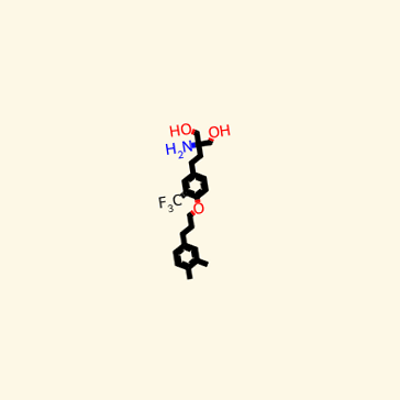 Cc1ccc(CCCOc2ccc(CCC(N)(CO)CO)cc2C(F)(F)F)cc1C